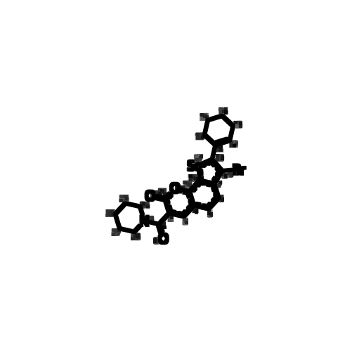 O=C(c1cc2ccc3c(Br)c(C4=CCCCC4)[se]c3c2oc1=O)N1CCCCC1